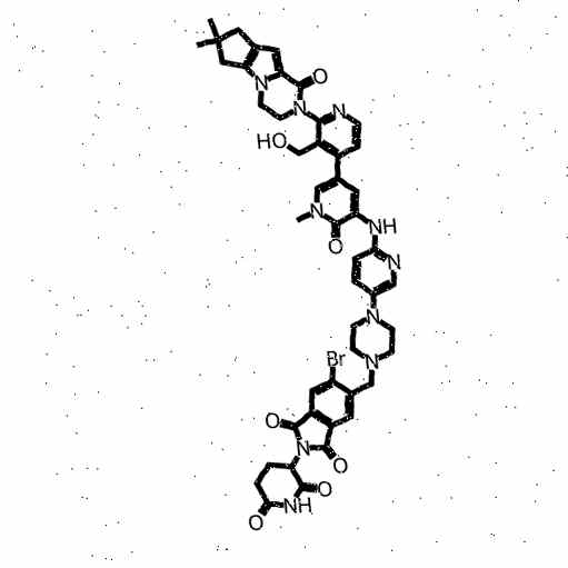 Cn1cc(-c2ccnc(N3CCn4c(cc5c4CC(C)(C)C5)C3=O)c2CO)cc(Nc2ccc(N3CCN(Cc4cc5c(cc4Br)C(=O)N(C4CCC(=O)NC4=O)C5=O)CC3)cn2)c1=O